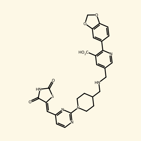 O=C1NC(=O)C(=Cc2ccnc(N3CCC(CNCc4cnc(-c5ccc6c(c5)OCO6)c(C(=O)O)c4)CC3)n2)S1